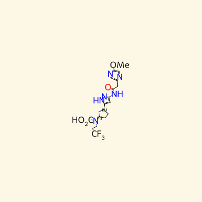 COc1cnc(CC(=O)Nc2cc([C@H]3CC[C@@H](N(CCC(F)(F)F)C(=O)O)C3)[nH]n2)cn1